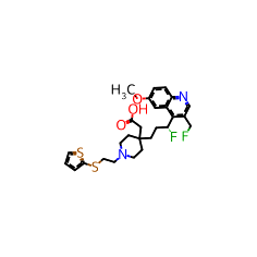 COc1ccc2ncc(CF)c([C@H](F)CCC3(CC(=O)O)CCN(CCSc4cccs4)CC3)c2c1